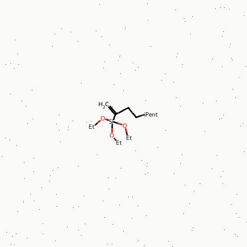 C=C(CCC(C)CCC)[Si](OCC)(OCC)OCC